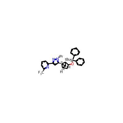 CC(C)n1nc(-c2cccc(C(F)(F)F)n2)cc1[C@]12C3C(O[Si](c4ccccc4)(c4ccccc4)C(C)(C)C)C[C@@H]1[C@H]32